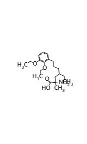 CCOc1cccc(CCCC(CC)CC(C)(N)C(=O)O)c1OCC